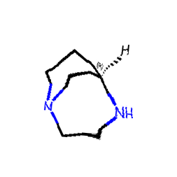 C1CN2CC[C@H](C2)N1